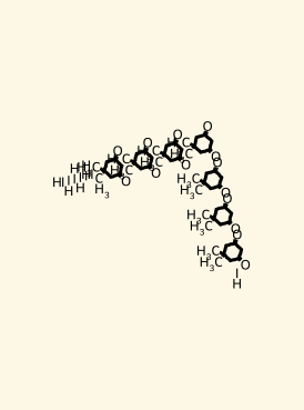 CC1(C)CC(=O)CC(=O)C1.CC1(C)CC(=O)CC(=O)C1.CC1(C)CC(=O)CC(=O)C1.CC1(C)CC(=O)CC(=O)C1.CC1(C)CC(=O)CC(=O)C1.CC1(C)CC(=O)CC(=O)C1.CC1(C)CC(=O)CC(=O)C1.I.I.I.I.I.I.I